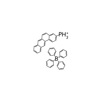 [PH3+]c1ccc2c(ccc3cc4ccccc4cc32)c1.c1ccc([B-](c2ccccc2)(c2ccccc2)c2ccccc2)cc1